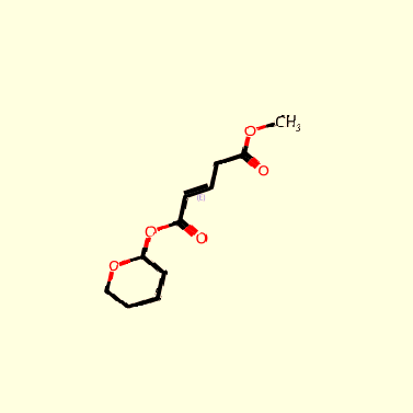 COC(=O)C/C=C/C(=O)OC1CCCCO1